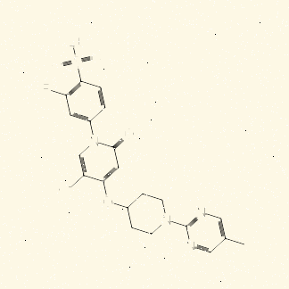 CCS(=O)(=O)c1ccc(-n2cc(Cl)c(OC3CCN(c4ncc(C)cn4)CC3)cc2=O)cc1F